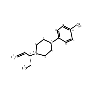 C=C[C@@H](CO)N1CCN(c2ccc(C(F)(F)F)cc2)CC1